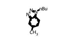 CCCCn1nnc2cc(C)ccc21